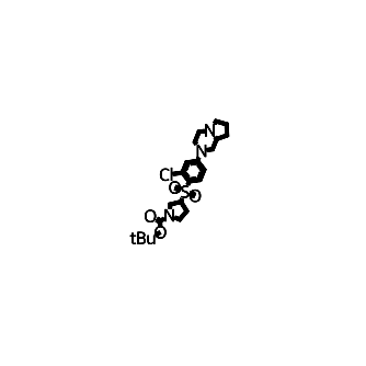 CC(C)(C)OC(=O)N1CCC(S(=O)(=O)c2ccc(N3CCN4CCCC4C3)cc2Cl)C1